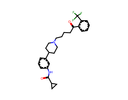 O=C(CCCCN1CCC(c2cccc(NC(=O)C3CC3)c2)CC1)c1ccccc1C(F)(F)F